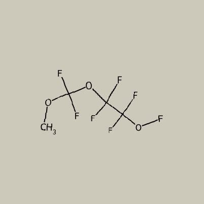 COC(F)(F)OC(F)(F)C(F)(F)OF